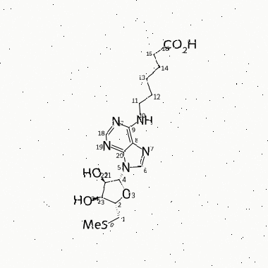 CSC[C@H]1O[C@@H](n2cnc3c(NCCCCCC(=O)O)ncnc32)[C@H](O)[C@@H]1O